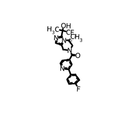 C[C@H]1CN(C(=O)c2ccnc(-c3ccc(F)cc3)c2)Cc2cnc(C(C)(O)C(F)(F)F)n21